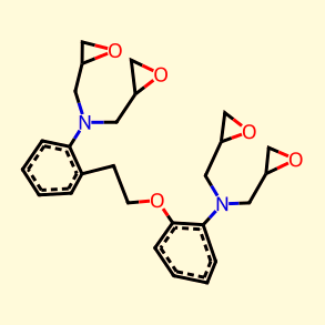 c1ccc(N(CC2CO2)CC2CO2)c(CCOc2ccccc2N(CC2CO2)CC2CO2)c1